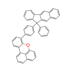 c1ccc(C2(c3ccc(-c4cccc5c4Oc4cccc6cccc-5c46)cc3)c3ccccc3-c3cc4ccccc4cc32)cc1